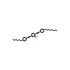 CCCCCCCCc1ccc(C#Cc2ccc(C#Cc3ccc(CCCCCC)cc3)cc2F)cc1